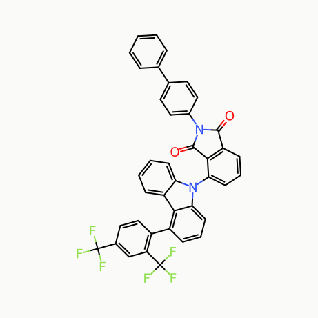 O=C1c2cccc(-n3c4ccccc4c4c(-c5ccc(C(F)(F)F)cc5C(F)(F)F)cccc43)c2C(=O)N1c1ccc(-c2ccccc2)cc1